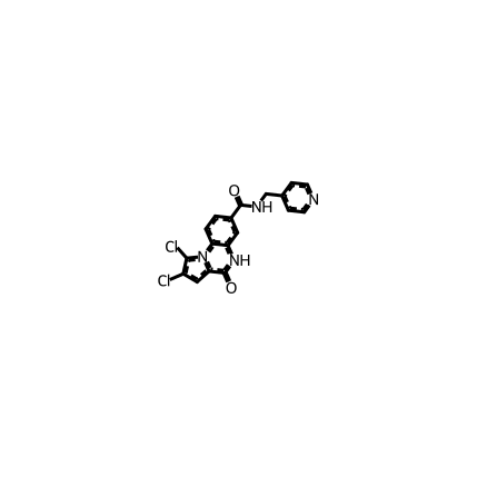 O=C(NCc1ccncc1)c1ccc2c(c1)[nH]c(=O)c1cc(Cl)c(Cl)n12